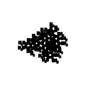 Bc1cc2c(cc1B)C1(c3c(B)c(B)c(B)c(B)c3-c3c(B)c(B)c4c(B)c(B)c(B)c(B)c4c31)c1c(B)c(B)c(B)c(N(c3cc4c(c(B)c3B)-c3c(B)c(B)c(B)c(B)c3C4(C)C)c3c(B)c(B)c(-c4c(B)c(B)c(B)c(B)c4B)c(B)c3B)c1-2